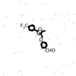 Cc1oc(-c2ccc(C(F)(F)F)cc2)nc1COc1ccc(C=O)cc1